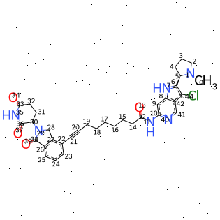 CN1CCC[C@@H]1c1[nH]c2cc(NC(=O)CCCCCCC#Cc3cccc4c3CN(C3CCC(=O)NC3=O)C4=O)ncc2c1Cl